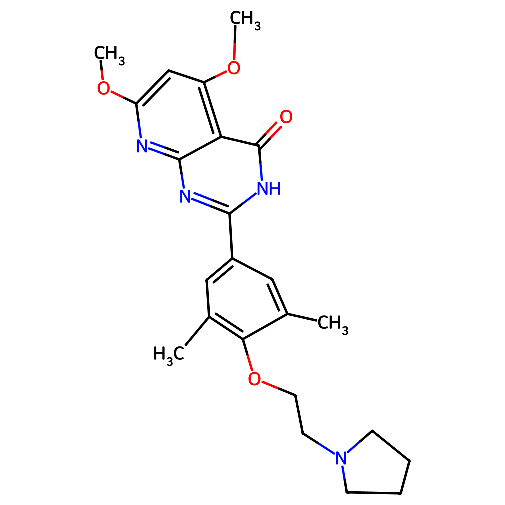 COc1cc(OC)c2c(=O)[nH]c(-c3cc(C)c(OCCN4CCCC4)c(C)c3)nc2n1